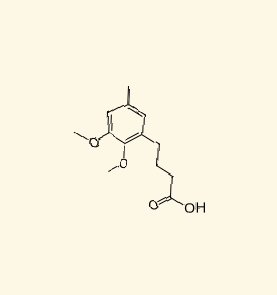 COc1cc(C)cc(CCCC(=O)O)c1OC